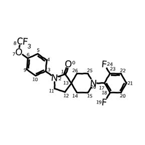 O=C1N(c2ccc(OC(F)(F)F)cc2)CCC12CCN(c1c(F)cccc1F)CC2